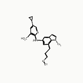 CCOCCCc1cc(Nc2ncc(C3CC3)cc2C(=O)O)cc2ccn(C)c12